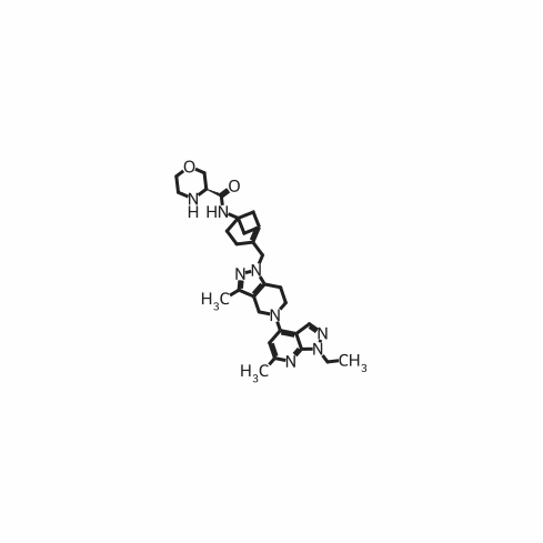 CCn1ncc2c(N3CCc4c(c(C)nn4CC4=C5CC(NC(=O)[C@@H]6COCCN6)(CC4)C5)C3)cc(C)nc21